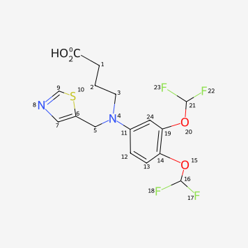 O=C(O)CCCN(Cc1cncs1)c1ccc(OC(F)F)c(OC(F)F)c1